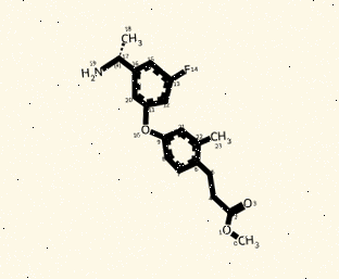 COC(=O)CCc1ccc(Oc2cc(F)cc([C@@H](C)N)c2)cc1C